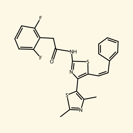 Cc1nc(C)c(-c2nc(NC(=O)Cc3c(F)cccc3F)sc2/C=C\c2ccccc2)s1